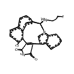 O=C1NC(=O)C2=C1c1c(Cl)ccc3ccc(cc13)C(NCCF)n1cc2c2ccccc21